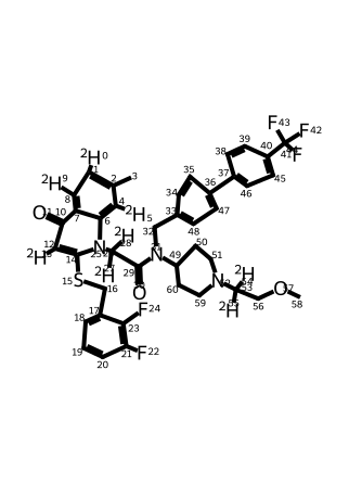 [2H]c1c(C)c([2H])c2c(c1[2H])c(=O)c([2H])c(SCc1cccc(F)c1F)n2C([2H])([2H])C(=O)N(Cc1ccc(-c2ccc(C(F)(F)F)cc2)cc1)C1CCN(C([2H])([2H])COC)CC1